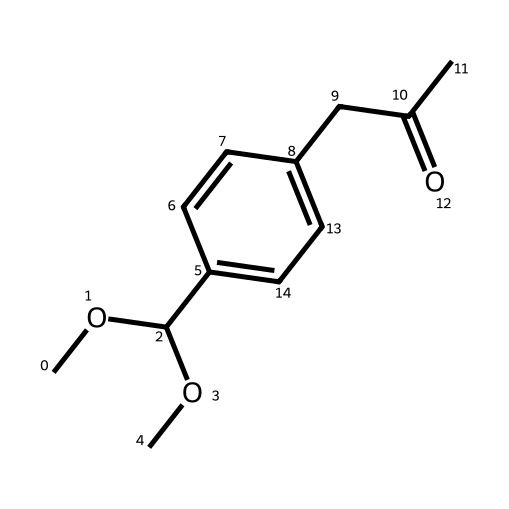 COC(OC)c1ccc(CC(C)=O)cc1